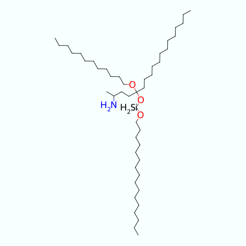 CCCCCCCCCCCCCCCCO[SiH2]OC(CCCCCCCCCCCCC)(CCC(C)N)OCCCCCCCCCCCC